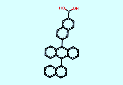 OB(O)c1ccc2cc(-c3c4ccccc4c(-c4cccc5ccccc45)c4ccccc34)ccc2c1